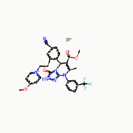 COC(=O)C1=C(C)N(c2cccc(C(F)(F)F)c2)c2n[nH]c(=O)n2C1c1ccc(C#N)cc1CC[n+]1ccc(OC)cc1.[Br-]